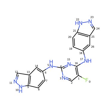 Fc1cnc(Nc2ccc3[nH]ncc3c2)nc1Nc1ccc2[nH]ncc2c1